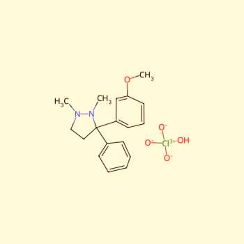 COc1cccc(C2(c3ccccc3)CCN(C)N2C)c1.[O-][Cl+3]([O-])([O-])O